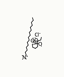 CCCC1(OC)CCCC[Si]1(OC)OC.CCCCCCCCCCCCCCCC[N+](C)(C)C.[Cl-]